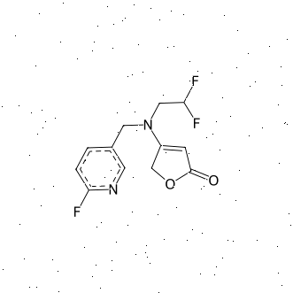 O=C1C=C(N(Cc2ccc(F)nc2)CC(F)F)CO1